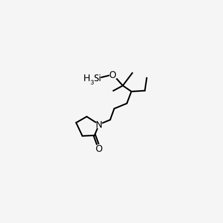 CCC(CCCN1CCCC1=O)C(C)(C)O[SiH3]